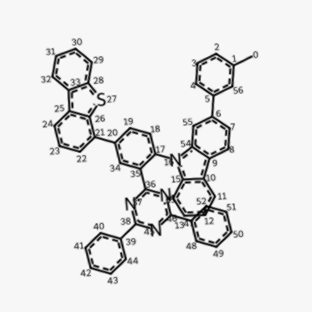 Cc1cccc(-c2ccc3c4ccccc4n(-c4ccc(-c5cccc6c5sc5ccccc56)cc4-c4nc(-c5ccccc5)nc(-c5ccccc5)n4)c3c2)c1